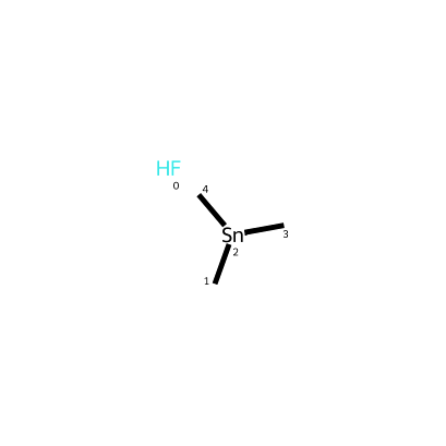 F.[CH3][Sn]([CH3])[CH3]